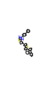 c1ccc(-c2ccc(-c3ncc4sc5ccc(-c6ccc7sc8c(-c9cccc%10c9C9(CCCCC9)c9ccccc9-%10)cccc8c7c6)cc5c4n3)cc2)cc1